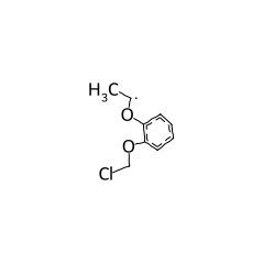 C[CH]Oc1ccccc1OCCl